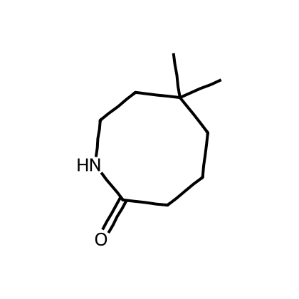 CC1(C)CCCC(=O)NCC1